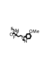 COc1ccc2ncn(CCC(F)(F)C(=O)NF)c2c1